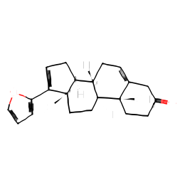 C[C@]12CCC(=O)CC1=CC[C@@H]1[C@@H]2CC[C@]2(C)C(c3ccco3)=CC[C@@H]12